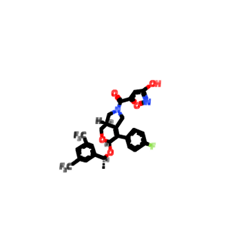 C[C@@H](O[C@H]1OC[C@@H]2CN(C(=O)c3cc(O)no3)CC2=C1c1ccc(F)cc1)c1cc(C(F)(F)F)cc(C(F)(F)F)c1